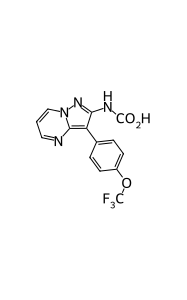 O=C(O)Nc1nn2cccnc2c1-c1ccc(OC(F)(F)F)cc1